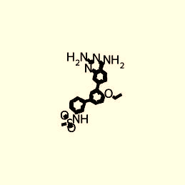 CCOc1ccc(-c2cccc(NS(C)(=O)=O)c2)cc1-c1ccc2c(N)nc(N)nc2c1